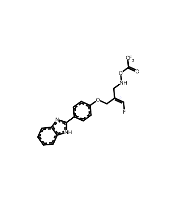 O=C(ONC/C(=C/F)COc1ccc(-c2nc3ccccc3[nH]2)cc1)C(F)(F)F